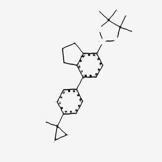 CC1(c2ccc(-c3ccc(B4OC(C)(C)C(C)(C)O4)c4c3CCC4)cc2)CC1